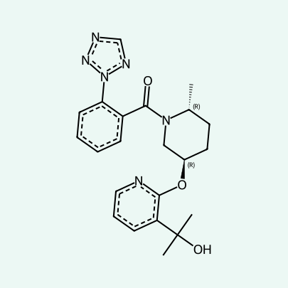 C[C@@H]1CC[C@@H](Oc2ncccc2C(C)(C)O)CN1C(=O)c1ccccc1-n1ncnn1